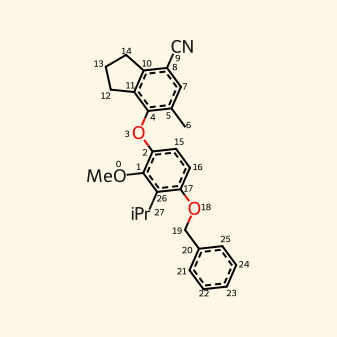 COc1c(Oc2c(C)cc(C#N)c3c2CCC3)ccc(OCc2ccccc2)c1C(C)C